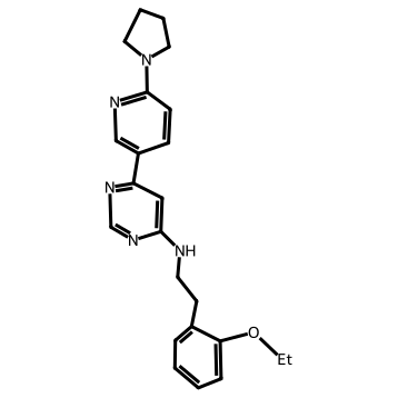 CCOc1ccccc1CCNc1cc(-c2ccc(N3CCCC3)nc2)ncn1